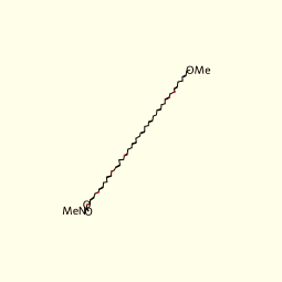 CNC(=O)OC/C=C/CC/C=C/CC/C=C/CC/C=C/CC/C=C/CC/C=C/CC/C=C/CC/C=C/CC/C=C/CC/C=C/CC/C=C/CC/C=C/COC